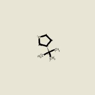 CC(C)(C)[C@H]1CCOC1